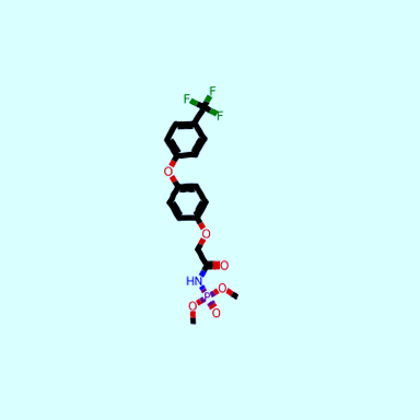 COP(=O)(NC(=O)COc1ccc(Oc2ccc(C(F)(F)F)cc2)cc1)OC